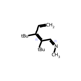 C=C/C(=C(\C=N/C)C(C)(C)C)C(C)(C)C